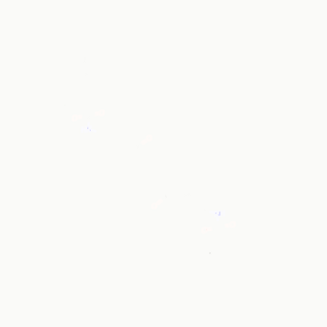 O=C(CSSCC(=O)c1ccc(NS(=O)(=O)c2ccc(F)cc2Cl)cc1)c1ccc(NS(=O)(=O)c2ccc(F)cc2Cl)cc1